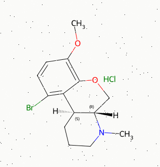 COc1ccc(Br)c2c1OC[C@H]1[C@H]2CCCN1C.Cl